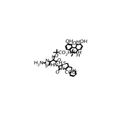 CC(C)(O/N=C(\C(=O)N[C@@H]1C(=O)N2C(C(=O)[O-])=C(C[n+]3ccccc3)CS[C@H]12)c1csc(N)n1)C(=O)O.CN1CC[C@]23c4c5ccc(O)c4O[C@H]2[C@@H](O)C=C[C@H]3[C@H]1C5